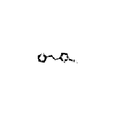 Nn1ccc(CCc2ccco2)n1